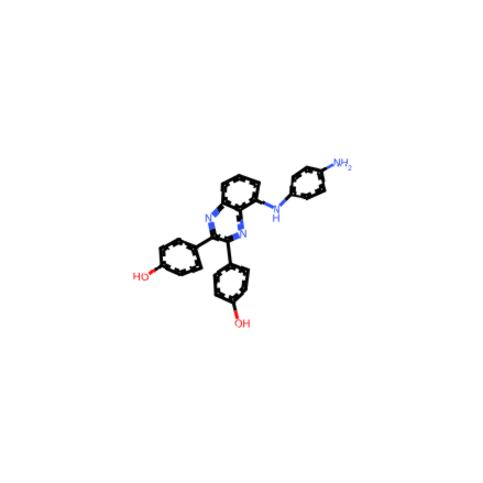 Nc1ccc(Nc2cccc3nc(-c4ccc(O)cc4)c(-c4ccc(O)cc4)nc23)cc1